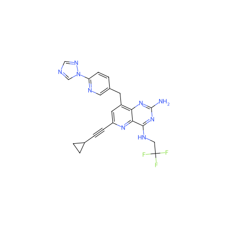 Nc1nc(NCC(F)(F)F)c2nc(C#CC3CC3)cc(Cc3ccc(-n4cncn4)nc3)c2n1